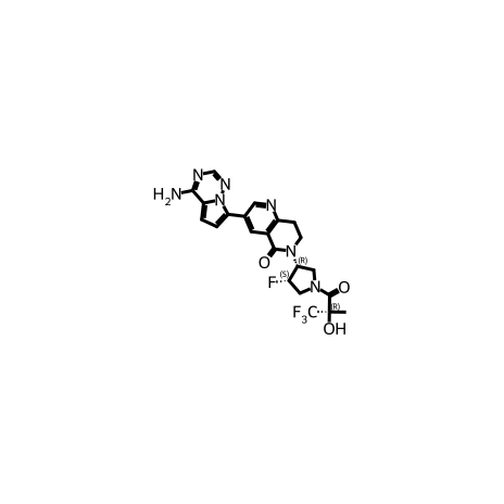 C[C@@](O)(C(=O)N1C[C@@H](N2CCc3ncc(-c4ccc5c(N)ncnn45)cc3C2=O)[C@@H](F)C1)C(F)(F)F